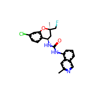 Cc1cc2c(NC(=O)N[C@@H]3C[C@](C)(CF)Oc4cc(Cl)ccc43)cccc2cn1